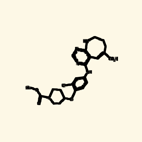 CC(C)(C)OC(=O)N1CCC(Oc2ccc(Nc3ncnc4c3/C=C(/C(=O)O)CCCN4)cc2Cl)CC1